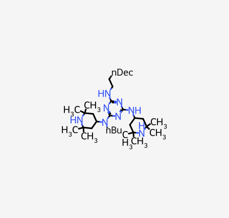 CCCCCCCCCCCCNc1nc(NC2CC(C)(C)NC(C)(C)C2)nc(N(CCCC)C2CC(C)(C)NC(C)(C)C2)n1